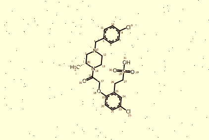 C[C@@H]1CN(Cc2ccc(Cl)cc2)CCN1C(=O)COc1ccc(Cl)cc1CCS(=O)(=O)O